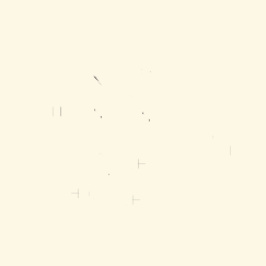 CSCCNC(=O)[C@H](Cc1ccccc1)N(C)C(=O)OC(C)(C)C